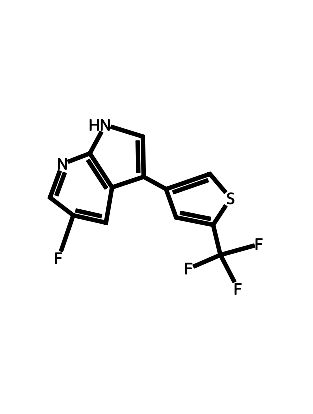 Fc1cnc2[nH]cc(-c3csc(C(F)(F)F)c3)c2c1